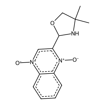 CC1(C)COC(c2c[n+]([O-])c3ccccc3[n+]2[O-])N1